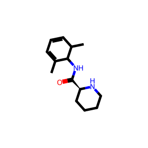 CC1=CC=CC(C)C1NC(=O)[C@@H]1CCCCN1